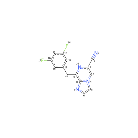 N#Cc1cn2ccnc2c(Cc2cc(F)cc(F)c2)n1